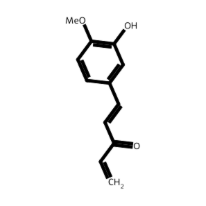 C=CC(=O)C=Cc1ccc(OC)c(O)c1